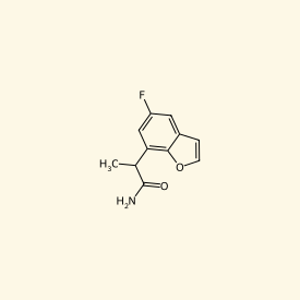 CC(C(N)=O)c1cc(F)cc2ccoc12